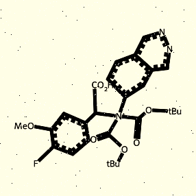 COc1cc(C(C(=O)O)[N+](C(=O)OC(C)(C)C)(C(=O)OC(C)(C)C)c2ccc3cnncc3c2)ccc1F